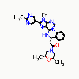 CCn1c(-c2cnc(C)nc2)nc2c(N[C@@H](CC(=O)N3C[C@@H](C)O[C@@H](C)C3)c3ccccc3)ncnc21